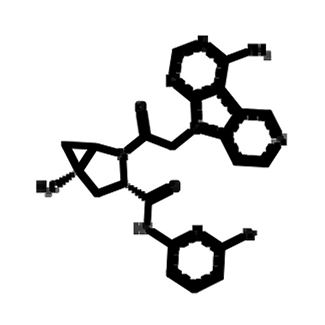 C[C@]12CC1N(C(=O)Cn1c3ccncc3c3c(N)ncnc31)[C@H](C(=O)Nc1cccc(Br)n1)C2